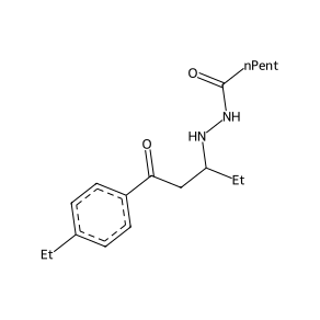 CCCCCC(=O)NNC(CC)CC(=O)c1ccc(CC)cc1